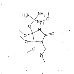 COCN1C(=O)N(COC)C(OC)(OC(N)(N)N)C1(OC)OC